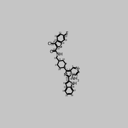 N[N+]12C=CN=CC1=C(C1CCC(CNC(=O)c3sc4cc(F)ccc4c3Cl)CC1)N=C2c1cc2ccccc2[nH]1